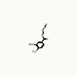 COc1cc(C(=O)OCN=[N+]=[N-])ccc1C